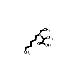 CCCCCCN(CC)C(C)C(=O)O